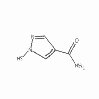 NC(=O)c1cnn(S)c1